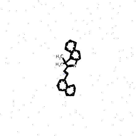 CC1(C)C(/C=C/c2cccc3ccccc23)=Nc2ccc3ccccc3c21